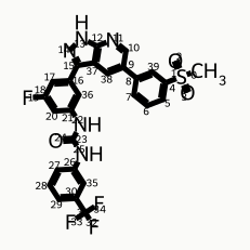 CS(=O)(=O)c1cccc(-c2cnc3[nH]nc(-c4cc(F)cc(NC(=O)Nc5cccc(C(F)(F)F)c5)c4)c3c2)c1